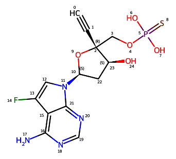 C#C[C@]1(COP(O)(O)=S)O[C@H](n2cc(F)c3c(N)ncnc32)C[C@@H]1O